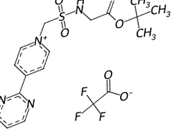 CC(C)(C)OC(=O)CNS(=O)(=O)C[n+]1ccc(-c2ncccn2)cc1.O=C([O-])C(F)(F)F